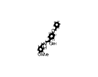 COc1ccc(CNC[C@@H](O)c2ccc(OCc3ccccc3)cc2)cc1